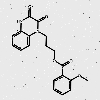 COc1ccccc1C(=O)OCCCn1c(=O)c(=O)[nH]c2ccccc21